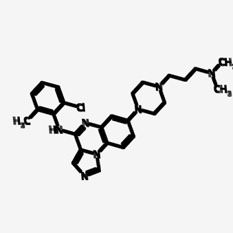 Cc1cccc(Cl)c1Nc1nc2cc(N3CCN(CCCN(C)C)CC3)ccc2n2cncc12